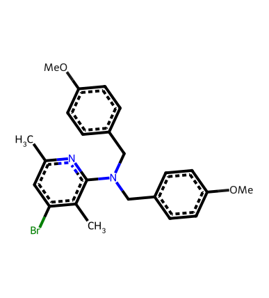 COc1ccc(CN(Cc2ccc(OC)cc2)c2nc(C)cc(Br)c2C)cc1